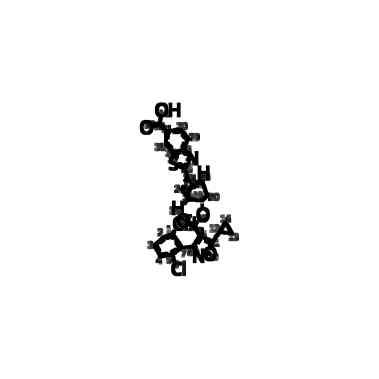 Cc1cccc(Cl)c1-c1noc(C2CC2)c1C(=O)O[C@H]1C[C@@H]2C[C@H]1CN2c1nc2ccc(C(=O)O)cc2s1